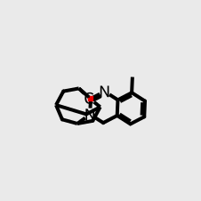 Cc1cccc2c1N=C1C3CC4CC(C3)CC(C4)N1C2